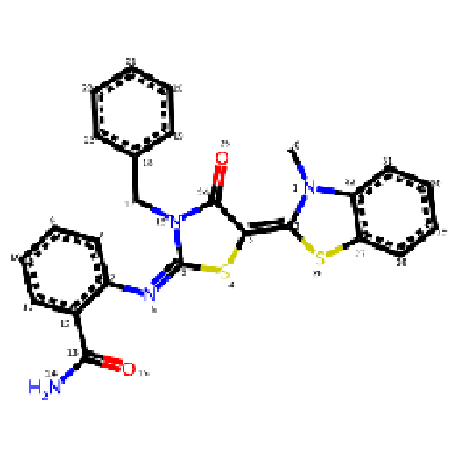 CN1C(=C2SC(=Nc3ccccc3C(N)=O)N(Cc3ccccc3)C2=O)Sc2ccccc21